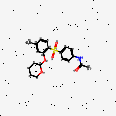 O=C(Nc1ccc(S(=O)(=O)c2ccc([N+](=O)[O-])cc2OC2CCCCO2)cc1)C(F)(F)F